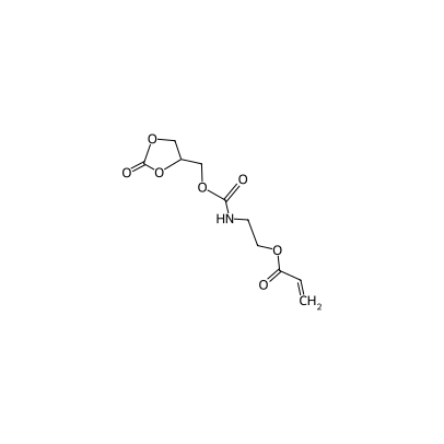 C=CC(=O)OCCNC(=O)OCC1COC(=O)O1